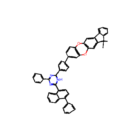 CC1(C)c2ccccc2-c2cc3c(cc21)Oc1cc(-c2ccc(C4N=C(c5ccccc5)N=C(c5ccc(-c6ccccc6)c6ccccc56)N4)cc2)ccc1O3